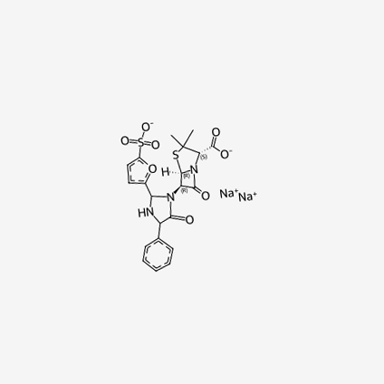 CC1(C)S[C@@H]2[C@H](N3C(=O)C(c4ccccc4)NC3c3ccc(S(=O)(=O)[O-])o3)C(=O)N2[C@H]1C(=O)[O-].[Na+].[Na+]